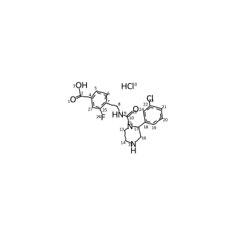 Cl.O=C(O)c1ccc(CNC(=O)N2CCNCC2c2cccc(Cl)c2)c(F)c1